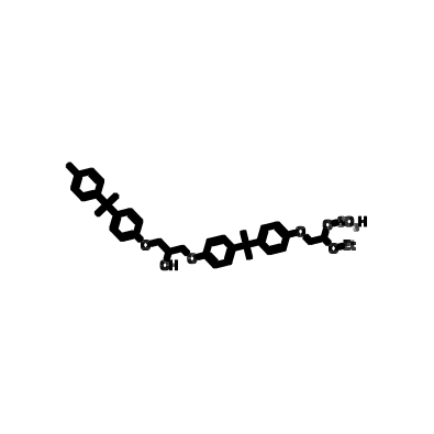 CCOC(COc1ccc(C(C)(C)c2ccc(OCC(O)COc3ccc(C(C)(C)c4ccc(C)cc4)cc3)cc2)cc1)OS(=O)(=O)O